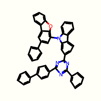 c1ccc(-c2ccc(-c3nc(-c4ccccc4)nc(-c4ccc5c6ccccc6n(-c6cc(-c7ccccc7)cc7c6oc6ccccc67)c5c4)n3)cc2)cc1